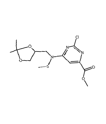 COC(=O)c1cc(N(CC2COC(C)(C)O2)SC)nc(Cl)n1